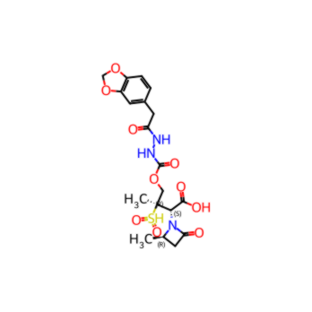 C[C@@H]1CC(=O)N1[C@@H](C(=O)O)[C@](C)(COC(=O)NNC(=O)Cc1ccc2c(c1)OCO2)[SH](=O)=O